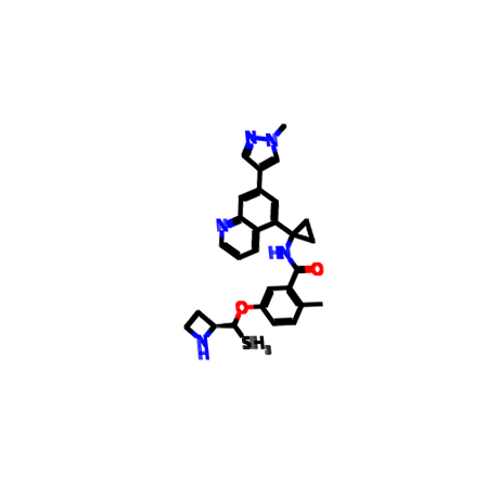 Cc1ccc(OC([SiH3])[C@@H]2CCN2)cc1C(=O)NC1(c2cc(-c3cnn(C)c3)cc3ncccc23)CC1